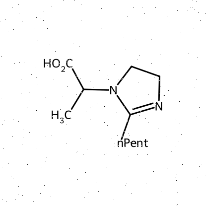 CCCCCC1=NCCN1C(C)C(=O)O